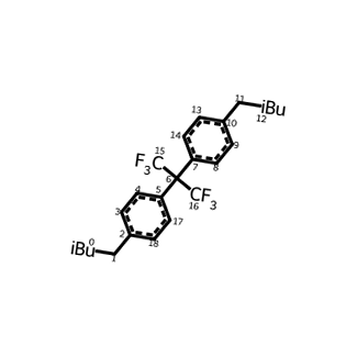 CCC(C)Cc1ccc(C(c2ccc(CC(C)CC)cc2)(C(F)(F)F)C(F)(F)F)cc1